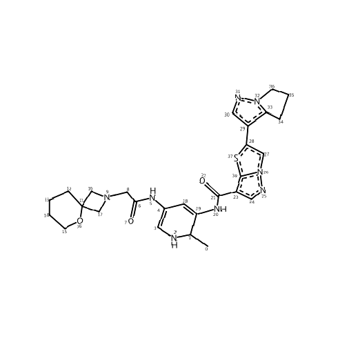 CC1NC=C(NC(=O)CN2CC3(CCCCO3)C2)C=C1NC(=O)c1cnn2cc(-c3cnn4c3CCC4)sc12